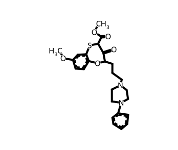 COC(=O)C1Sc2cc(OC)ccc2OC(CCCN2CCN(c3ccccc3)CC2)C1=O